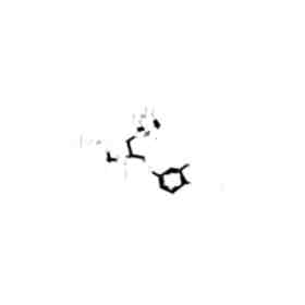 CC(C)(C)OC(=O)NC(COc1ccc(C(=O)O)c(F)c1)Cn1ncnn1